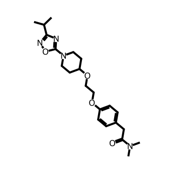 CC(C)c1noc(N2CCC(OCCOc3ccc(CC(=O)N(C)C)cc3)CC2)n1